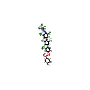 CC1CCC(C(=O)Oc2ccc(-c3cc(F)c(-c4cc(F)c(/C=C/C(F)(F)F)c(F)c4)c(F)c3)c(F)c2)CC1